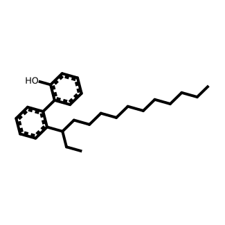 CCCCCCCCCCCC(CC)c1ccccc1-c1ccccc1O